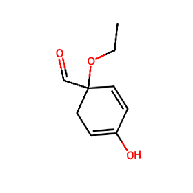 CCOC1(C=O)C=CC(O)=CC1